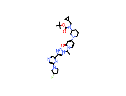 CC(n1cc(-c2cncc(N3CC[C@H](F)C3)n2)nn1)n1ccc(N2CCC[C@@H](N(CC3CC3)C(=O)OC(C)(C)C)C2)cc1=O